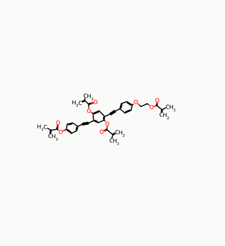 C=C(C)C(=O)OCCOc1ccc(C#Cc2cc(OC(=O)C(=C)C)c(C#Cc3ccc(OC(=O)C(=C)C)cc3)cc2OC(=O)C(=C)C)cc1